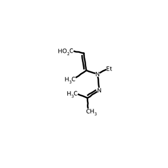 CCN(N=C(C)C)C(C)=CC(=O)O